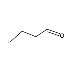 [CH]CC[C]=O